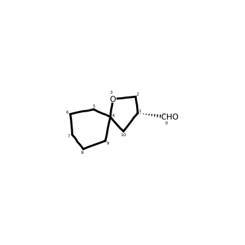 O=C[C@H]1COC2(CCCCC2)C1